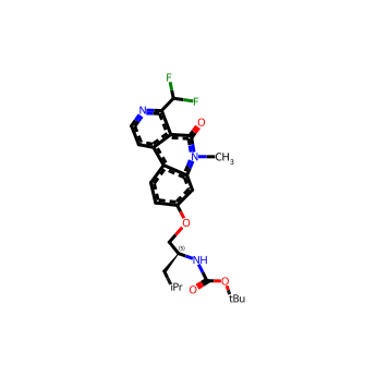 CC(C)C[C@@H](COc1ccc2c3ccnc(C(F)F)c3c(=O)n(C)c2c1)NC(=O)OC(C)(C)C